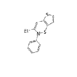 CCC1=Cc2sccc2SN1c1ccccc1